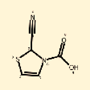 N#CC1SC=CN1C(=O)O